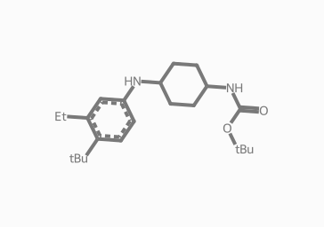 CCc1cc(NC2CCC(NC(=O)OC(C)(C)C)CC2)ccc1C(C)(C)C